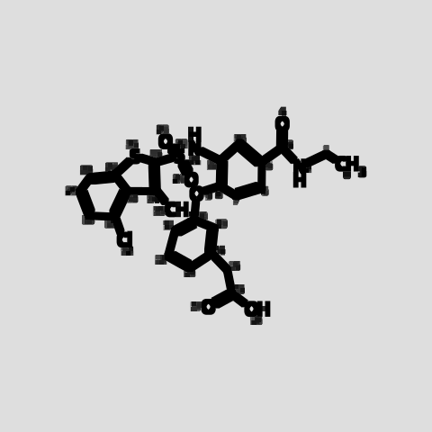 CCNC(=O)c1ccc(Oc2cccc(CC(=O)O)c2)c(NS(=O)(=O)c2sc3cccc(Cl)c3c2C)c1